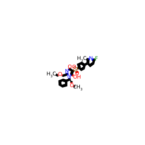 CCOCc1nc(=O)c(S(=O)(=O)c2ccc(-c3ccc(F)nc3C)cc2)c(O)n1[C@@H](COC)c1ccccc1